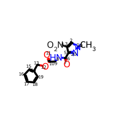 Cn1cc([N+](=O)[O-])c(C(=O)NCC(=O)OCc2ccccc2)n1